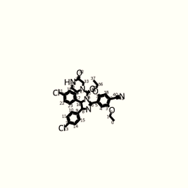 CCOc1cc(C2=NC(c3ccc(Cl)cc3)C(c3ccc(Cl)cc3)N2C(=O)N2CCNC(=O)C2)c(OCC)cc1C#N